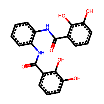 O=C(Nc1ccccc1NC(=O)c1cccc(O)c1O)c1cccc(O)c1O